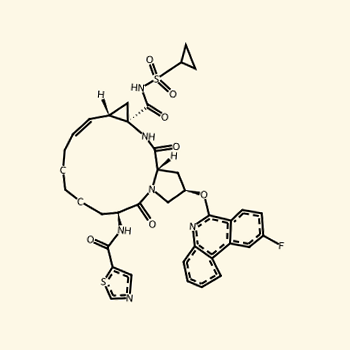 O=C(N[C@H]1CCCCC/C=C\[C@@H]2C[C@@]2(C(=O)NS(=O)(=O)C2CC2)NC(=O)[C@@H]2C[C@@H](Oc3nc4ccccc4c4cc(F)ccc34)CN2C1=O)c1cncs1